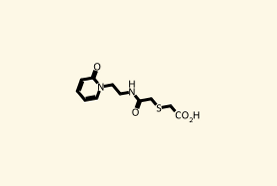 O=C(O)CSCC(=O)NCCn1ccccc1=O